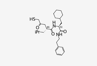 CC(C)C[C@H](CC(=O)CS)C(=O)N[C@@H](CC1CCCCC1)C(=O)NCCc1ccccc1